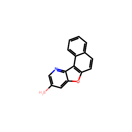 Bc1cnc2c(c1)oc1ccc3ccccc3c12